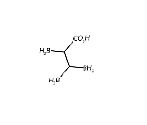 BC(B)C(B)C(=O)O